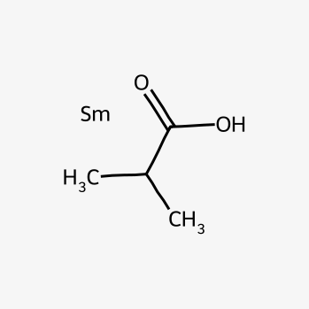 CC(C)C(=O)O.[Sm]